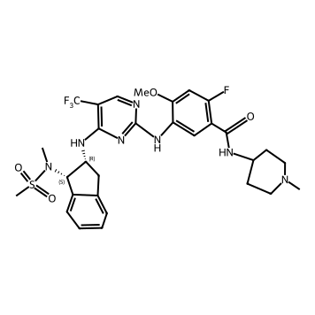 COc1cc(F)c(C(=O)NC2CCN(C)CC2)cc1Nc1ncc(C(F)(F)F)c(N[C@@H]2Cc3ccccc3[C@@H]2N(C)S(C)(=O)=O)n1